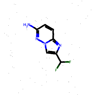 Nc1ccc2nc(C(F)F)cn2n1